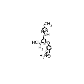 CCc1cnc(NCc2cc(N)nc(Oc3ccc(CS(N)(=O)=O)cc3)c2)nc1.Cl